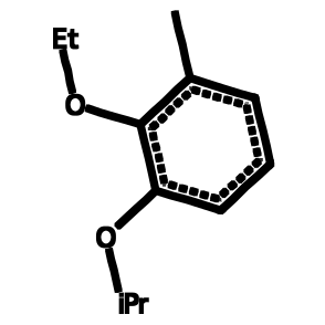 CCOc1c(C)cccc1OC(C)C